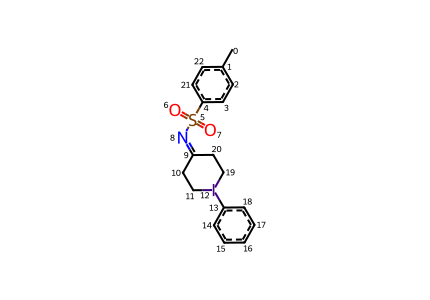 Cc1ccc(S(=O)(=O)N=C2CCI(c3ccccc3)CC2)cc1